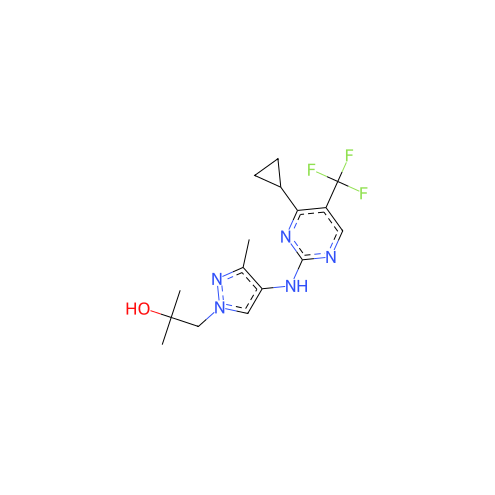 Cc1nn(CC(C)(C)O)cc1Nc1ncc(C(F)(F)F)c(C2CC2)n1